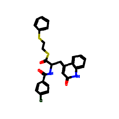 O=C(NC(Cc1cc(=O)[nH]c2ccccc12)C(=O)SCCSc1ccccc1)c1ccc(Cl)cc1